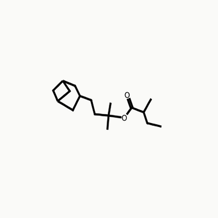 CCC(C)C(=O)OC(C)(C)CCC1CC2CC(C1)C2